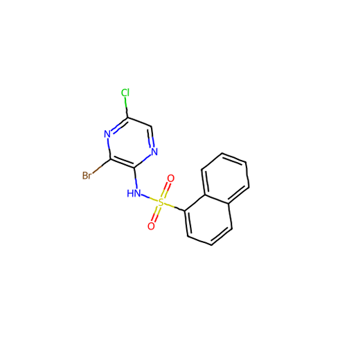 O=S(=O)(Nc1ncc(Cl)nc1Br)c1cccc2ccccc12